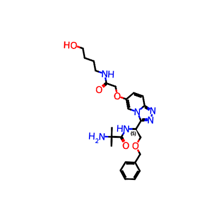 CC(C)(N)C(=O)N[C@H](COCc1ccccc1)c1nnc2ccc(OCC(=O)NCCCCO)cn12